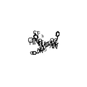 CCc1c(N2CCN(C(=O)c3ncnc(C)c3OCc3ccccc3)CC2)c(=O)n2nc(C=C3CCOCC3)nc2n1CC(=O)Nc1ccc(C(F)(F)F)cc1Cl